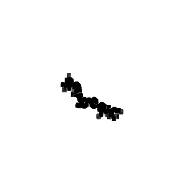 C=CC1=C(/C=C(\C)Nc2nccc(-c3cc(F)cc(NC)c3C)n2)CN(CC2CCN(C3C=C(C=O)C(C(=O)N(C)C(CCC=O)C(=O)NC)=CC3)CC2)CC1